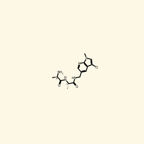 C[C@H](NC(=O)[C@@H](C)N)C(=O)NCc1cnc2c(c1)c(Cl)cn2C